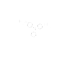 Bc1ccc(N(c2ccccc2)c2ccc(B)cc2)cc1